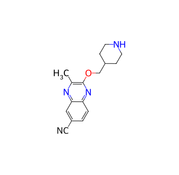 Cc1nc2cc(C#N)ccc2nc1OCC1CCNCC1